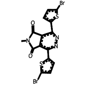 CN1C(=O)c2c(-c3ccc(Br)s3)nnc(-c3ccc(Br)s3)c2C1=O